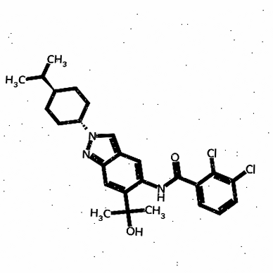 CC(C)[C@H]1CC[C@H](n2cc3cc(NC(=O)c4cccc(Cl)c4Cl)c(C(C)(C)O)cc3n2)CC1